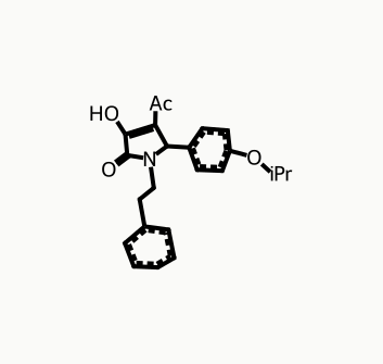 CC(=O)C1=C(O)C(=O)N(CCc2ccccc2)C1c1ccc(OC(C)C)cc1